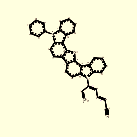 C=C/C(=C\C=C\C#N)n1c2ccccc2c2c3oc4c(ccc5c4c4ccccc4n5-c4ccccc4)c3ccc21